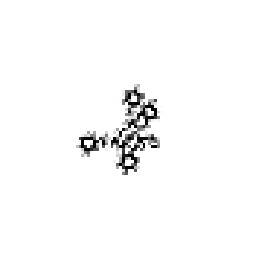 O=C(N[C@H](Cc1ccccc1)CN(C(=O)CCl)[C@@H](Cc1ccccc1)C(=O)OCc1ccccc1)OCc1ccccc1